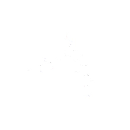 CO/N=C1\CC(CCC(=O)Nc2ncc(C)s2)C2C3CCc4cc(OC(=O)CN(C)C)ccc4C3CCC12C